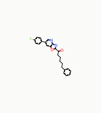 O=C(CCCCCc1ccccc1)c1nc2ncc(-c3ccc(F)cc3)cc2o1